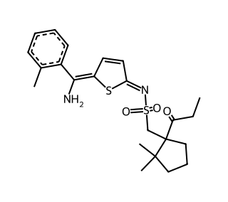 CCC(=O)C1(CS(=O)(=O)N=C2C=C/C(=C(/N)c3ccccc3C)S2)CCCC1(C)C